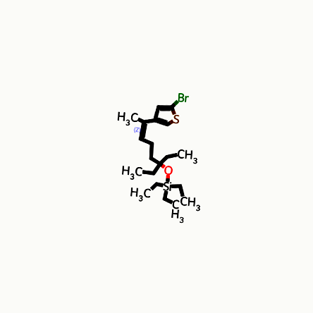 CCC(CC)(CC/C=C(/C)c1csc(Br)c1)O[Si](CC)(CC)CC